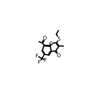 CCSc1oc2c(C(C)=O)cc(C(F)(F)F)cc2c(=O)c1C